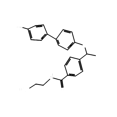 CC(C)C(Oc1ccc(-c2ccc(C(C)(C)C)cc2)cc1)c1ccc(C(=O)NCCC(=O)O)cc1